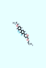 CCCOCC1CCC(c2ccc(-c3ccc(OCC)cc3F)c(F)c2F)CO1